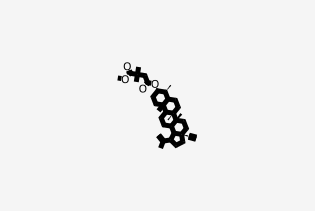 C#C[C@]12CCC(C(=C)C)C1C1CCC3C4(C)CC[C@H](OC(=O)CC(C)(C)C(=O)OC)[C@H](C)C4CC[C@@]3(C)[C@]1(C)CC2